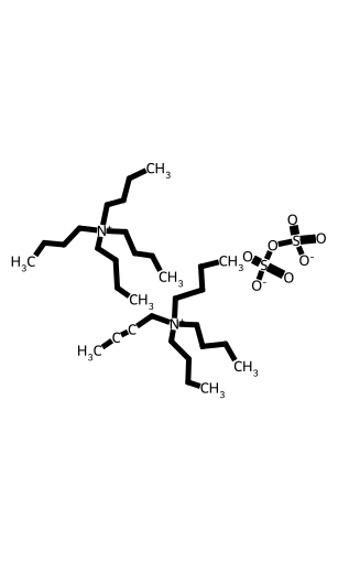 CCCC[N+](CCCC)(CCCC)CCCC.CCCC[N+](CCCC)(CCCC)CCCC.O=S(=O)([O-])OS(=O)(=O)[O-]